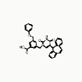 O=C(O)c1cc(COc2ccccc2)cc(Cn2cc(C3c4ccccc4C=Cc4ccccc43)c(=O)[nH]c2=O)c1